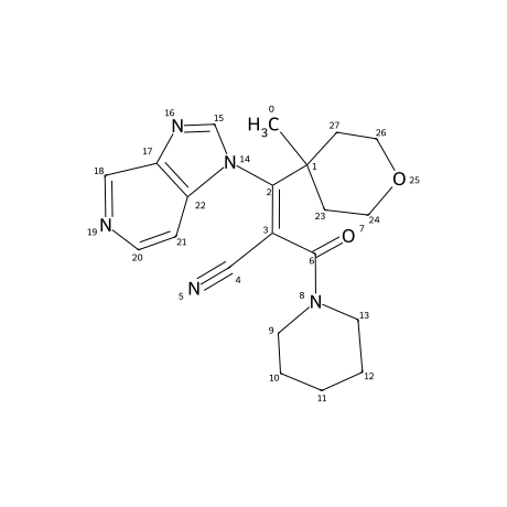 CC1(C(=C(C#N)C(=O)N2CCCCC2)n2cnc3cnccc32)CCOCC1